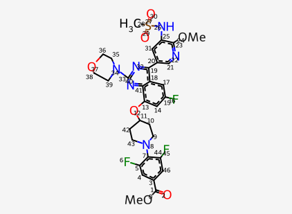 COC(=O)c1cc(F)c(N2CCC(Oc3cc(F)cc4c(-c5cnc(OC)c(NS(C)(=O)=O)c5)nc(N5CCOCC5)nc34)CC2)c(F)c1